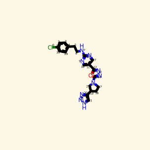 Clc1ccc(CCNc2ncc(-c3nnc(N4CCC(c5c[nH]nn5)C4)o3)cn2)cc1